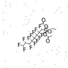 CCO[Si](OC(C)=O)(OC(C)=O)C(F)C(F)(F)C(F)(F)C(F)(F)C(F)(F)C(F)C(F)C(F)F